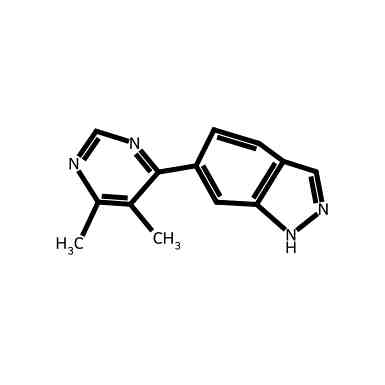 Cc1ncnc(-c2ccc3cn[nH]c3c2)c1C